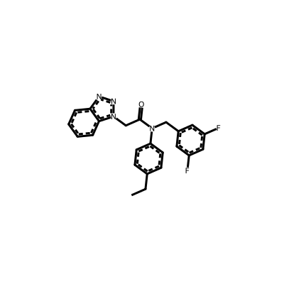 CCc1ccc(N(Cc2cc(F)cc(F)c2)C(=O)Cn2nnc3ccccc32)cc1